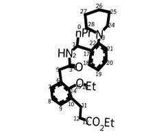 CCCC(NC(=O)Cc1cccc(CCC(=O)OCC)c1OCC)c1ccccc1N1CCCCC1